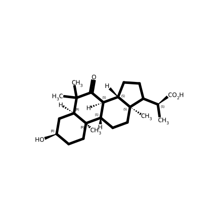 C[C@H](C(=O)O)C1CC[C@H]2[C@@H]3C(=O)C(C)(C)[C@@H]4C[C@H](O)CC[C@]4(C)[C@H]3CC[C@]12C